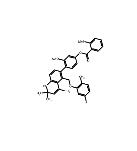 COc1cc(OC(=O)c2ccccc2SC)ccc1-c1ccc2c(c1COc1cc(F)ccc1C)C(C)=CC(C)(C)N2